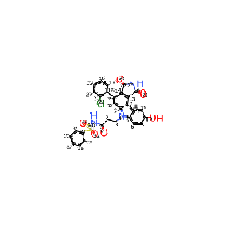 O=C(CCn1c2ccc(O)cc2c2c3c(c(-c4ccccc4Cl)cc21)C(=O)NC3=O)NS(=O)(=O)c1ccccc1